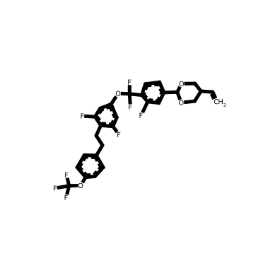 C=CC1COC(c2ccc(C(F)(F)Oc3cc(F)c(CCc4ccc(OC(F)(F)F)cc4)c(F)c3)c(F)c2)OC1